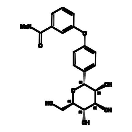 CNC(=O)c1cccc(Oc2ccc([C@H]3O[C@H](CO)[C@@H](O)[C@H](O)[C@@H]3O)cc2)c1